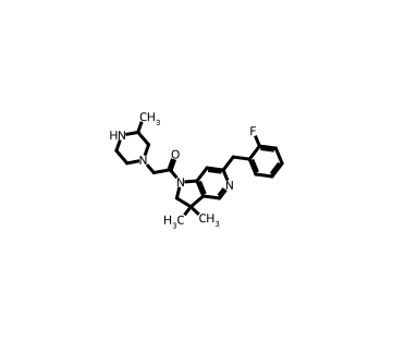 CC1CN(CC(=O)N2CC(C)(C)c3cnc(Cc4ccccc4F)cc32)CCN1